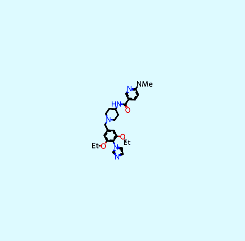 CCOc1cc(CN2CCC(NC(=O)c3ccc(NC)nc3)CC2)cc(OCC)c1-n1ccnc1